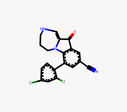 N#Cc1cc2c(c(-c3ccc(Cl)cc3Cl)c1)N1CCCNC=C1C2=O